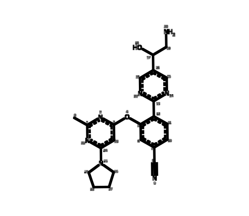 Cc1nc(Oc2cc(C#N)ccc2-c2ncc(C(O)CN)cn2)cc(N2CCCC2)n1